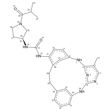 Cc1cnc2nc1Nc1ccc(NC(=O)N[C@H]3CCN(C(=O)C(C)C)C3)c(c1)CCc1cccc(c1)N2